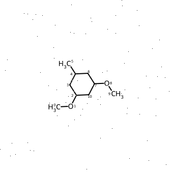 COC1CC(C)CC(OC)C1